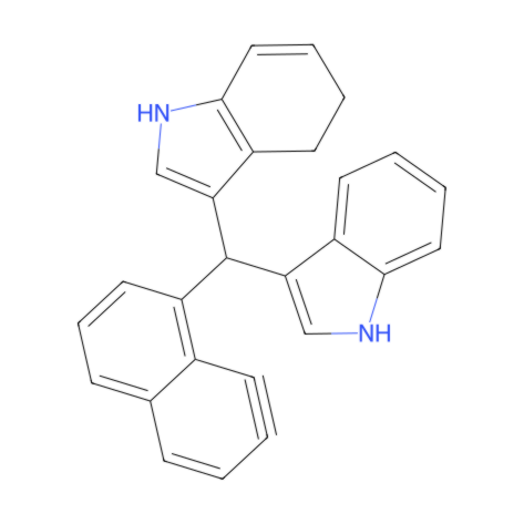 c1ccc2cccc(C(c3c[nH]c4c3CCC=C4)c3c[nH]c4ccccc34)c2c#1